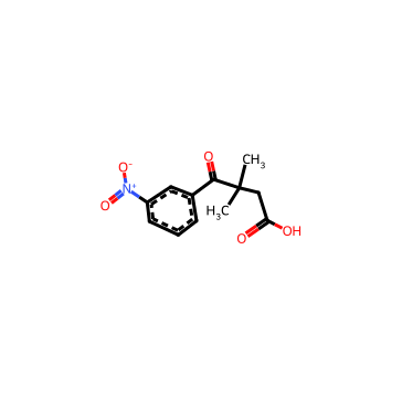 CC(C)(CC(=O)O)C(=O)c1cccc([N+](=O)[O-])c1